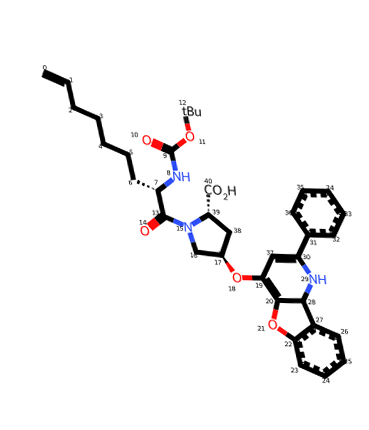 C=CCCCCC[C@H](NC(=O)OC(C)(C)C)C(=O)N1C[C@H](OC2=C3Oc4ccccc4C3NC(c3ccccc3)=C2)C[C@H]1C(=O)O